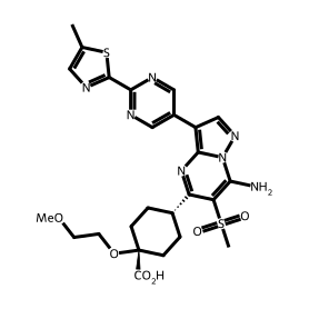 COCCO[C@]1(C(=O)O)CC[C@H](c2nc3c(-c4cnc(-c5ncc(C)s5)nc4)cnn3c(N)c2S(C)(=O)=O)CC1